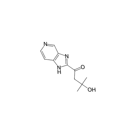 CC(C)(O)CC(=O)c1nc2cnccc2[nH]1